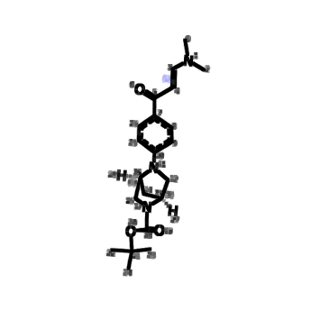 CN(C)/C=C/C(=O)c1ccc(N2C[C@@H]3C[C@H]2CN3C(=O)OC(C)(C)C)cc1